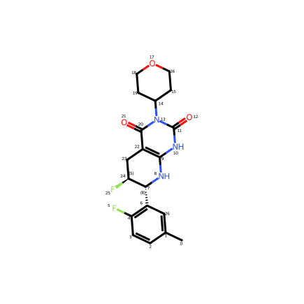 Cc1ccc(F)c([C@H]2Nc3[nH]c(=O)n(C4CCOCC4)c(=O)c3C[C@@H]2F)c1